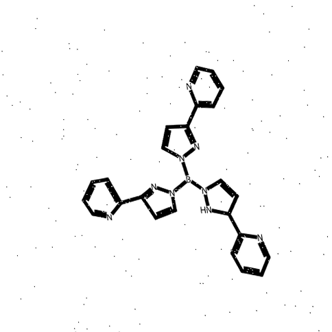 C1=CN(B(n2ccc(-c3ccccn3)n2)n2ccc(-c3ccccn3)n2)NC1c1ccccn1